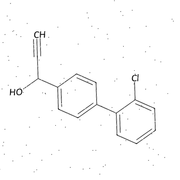 C#CC(O)c1ccc(-c2ccccc2Cl)cc1